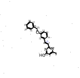 Cc1cc(O)nc(/C=C/c2cccc(OCc3ccccc3)c2)n1